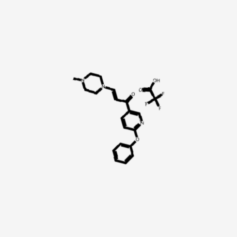 CN1CCN(C=CC(=O)c2ccc(Oc3ccccc3)nc2)CC1.O=C(O)C(F)(F)F